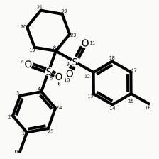 Cc1ccc(S(=O)(=O)C2(S(=O)(=O)c3ccc(C)cc3)CCCCC2)cc1